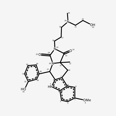 COc1ccc2[nH]c3c(c2c1)CC1(C)C(=O)N(CCCN(C)CCO)C(=O)N1C3c1cccc(O)c1